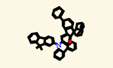 CC1(C)c2ccccc2-c2ccc(N(c3ccc4c(c3)-c3cc(-c5ccccc5)ccc3C43C4CC5CC(C4)C3C5)c3ccccc3-c3ccccc3)cc21